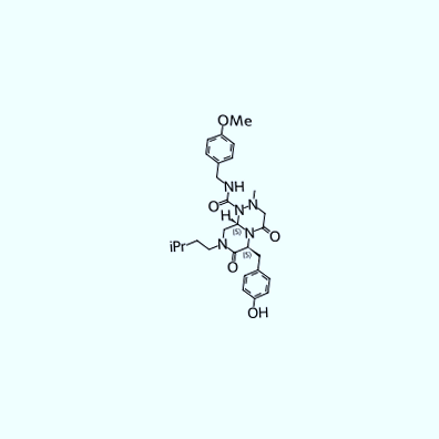 COc1ccc(CNC(=O)N2[C@H]3CN(CCC(C)C)C(=O)[C@H](Cc4ccc(O)cc4)N3C(=O)CN2C)cc1